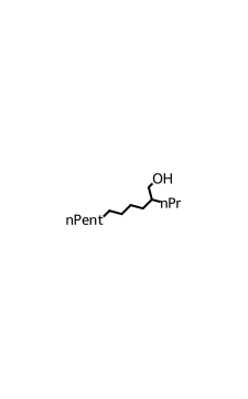 CCCCCCCCCC(CO)CCC